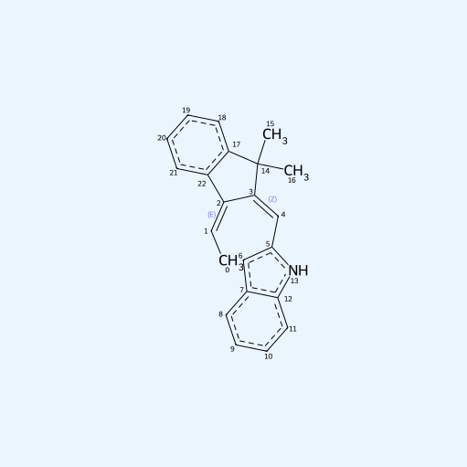 C/C=C1\C(=C/c2cc3ccccc3[nH]2)C(C)(C)c2ccccc21